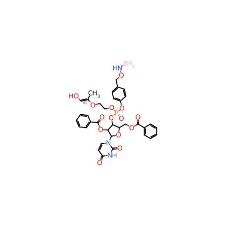 BNOCc1ccc(OP(=O)(OCCO/C(C)=C/O)OC2C(COC(=O)c3ccccc3)OC(n3ccc(=O)[nH]c3=O)C2OC(=O)c2ccccc2)cc1